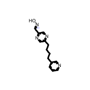 O/N=C/c1cnc(CCCCc2cccnc2)cn1